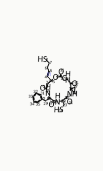 O=C1C[C@@H](/C=C/CCS)OC(=O)CNC(=O)C2(CC2)NC(=O)[C@@H](CS)NC(=O)[C@@H](Cc2ccccc2)N1